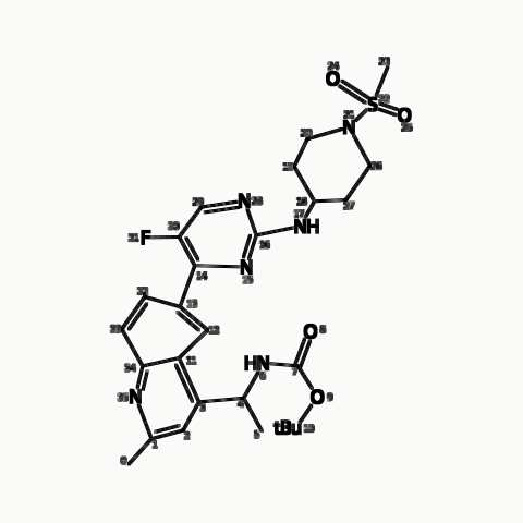 Cc1cc(C(C)NC(=O)OC(C)(C)C)c2cc(-c3nc(NC4CCN(S(C)(=O)=O)CC4)ncc3F)ccc2n1